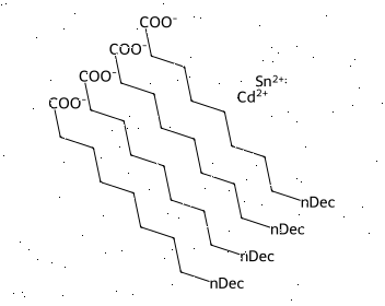 CCCCCCCCCCCCCCCCCC(=O)[O-].CCCCCCCCCCCCCCCCCC(=O)[O-].CCCCCCCCCCCCCCCCCC(=O)[O-].CCCCCCCCCCCCCCCCCC(=O)[O-].[Cd+2].[Sn+2]